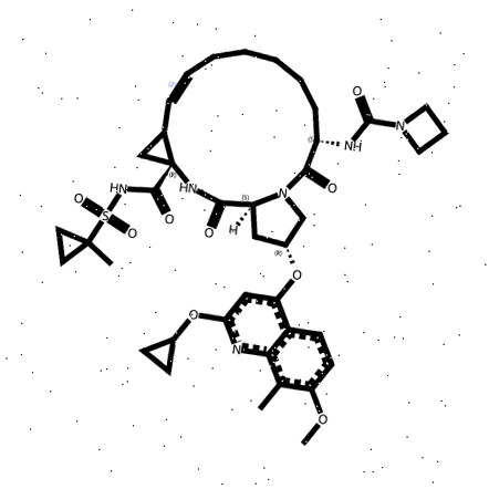 COc1ccc2c(O[C@@H]3C[C@H]4C(=O)N[C@]5(C(=O)NS(=O)(=O)C6(C)CC6)CC5/C=C\CCCCC[C@H](NC(=O)N5CCC5)C(=O)N4C3)cc(OC3CC3)nc2c1C